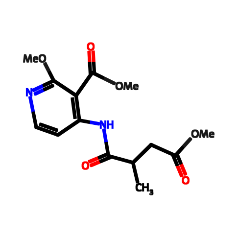 COC(=O)CC(C)C(=O)Nc1ccnc(OC)c1C(=O)OC